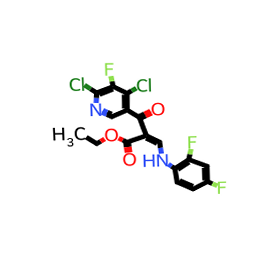 CCOC(=O)C(=CNc1ccc(F)cc1F)C(=O)c1cnc(Cl)c(F)c1Cl